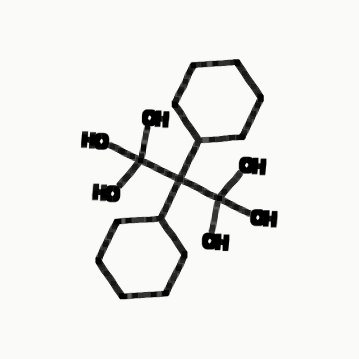 OC(O)(O)C(C1CCCCC1)(C1CCCCC1)C(O)(O)O